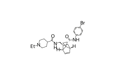 CCN1CCC(C(=O)NC[C@H]2[C@H](C(=O)Nc3ccc(Br)cc3)[C@@H]3C=C[C@H]2C32CC2)CC1